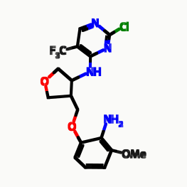 COc1cccc(OCC2COCC2Nc2nc(Cl)ncc2C(F)(F)F)c1N